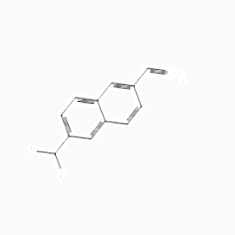 C=Cc1ccc2cc([C](F)F)ccc2c1